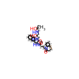 CC(O)CNCC(O)CNC(=O)C(Cc1ccc2ccccc2c1)NC(=O)CCCN1C(=O)CCSc2ccccc21